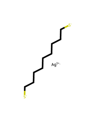 [Ag+2].[S-]CCCCCCCCC[S-]